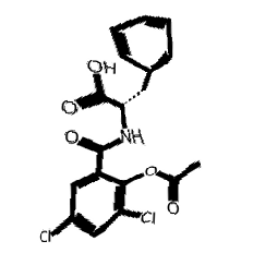 CC(=O)Oc1c(Cl)cc(Cl)cc1C(=O)N[C@@H](Cc1ccccc1)C(=O)O